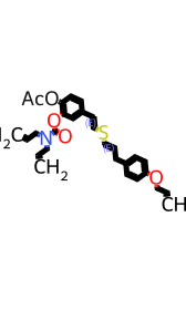 C=CCOc1ccc(C/C=C/S/C=C/c2ccc(OC(C)=O)c(OC(=O)N(CC=C)CC=C)c2)cc1